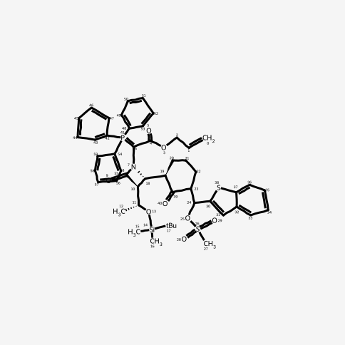 C=CCOC(=O)C(N1C(=O)[C@H]([C@@H](C)O[Si](C)(C)C(C)(C)C)[C@H]1[C@H]1CCCC(C(OS(C)(=O)=O)c2cc3ccccc3s2)C1=O)=P(c1ccccc1)(c1ccccc1)c1ccccc1